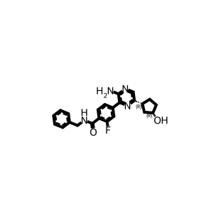 Nc1ncc([C@@H]2CC[C@@H](O)C2)nc1-c1ccc(C(=O)NCc2ccccc2)c(F)c1